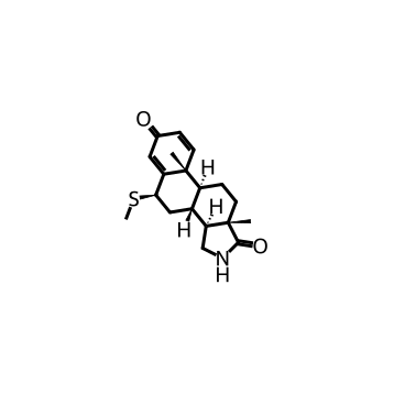 CS[C@@H]1C[C@@H]2[C@H](CC[C@]3(C)C(=O)NC[C@@H]23)[C@@]2(C)C=CC(=O)C=C12